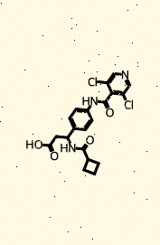 O=C(O)CC(NC(=O)C1CCC1)c1ccc(NC(=O)c2c(Cl)cncc2Cl)cc1